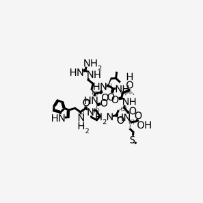 CSCC[C@H](NC(=O)[C@H](CC(N)=O)NC(=O)[C@@H](NC(=O)[C@H](CC(C)C)NC(=O)[C@H](CCCNC(=N)N)NC(=O)[C@@H]1CCCN1C(=O)[C@@H](N)Cc1c[nH]c2ccccc12)[C@@H](C)O)C(=O)O